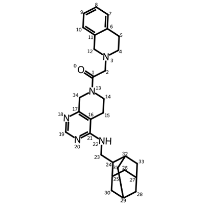 O=C(CN1CCc2ccccc2C1)N1CCc2c(ncnc2NCC2C3CC4CC(C3)CC2C4)C1